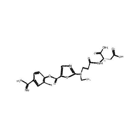 CCN(CCC(=O)N[C@@H](CC(=O)O)C(=O)O)c1ncc(C(=O)Oc2ccc(C(=N)N)cc2F)s1